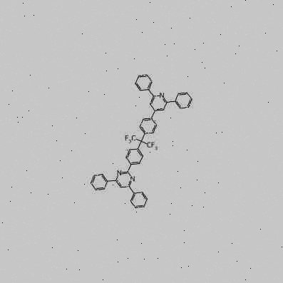 FC(F)(F)C(c1ccc(-c2cc(-c3ccccc3)nc(-c3ccccc3)c2)cc1)(c1ccc(-c2nc(-c3ccccc3)cc(-c3ccccc3)n2)cc1)C(F)(F)F